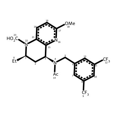 CC[C@@H]1C[C@H](N(Cc2cc(C(F)(F)F)cc(C(F)(F)F)c2)C(C)=O)c2nc(OC)ccc2N1C(=O)O